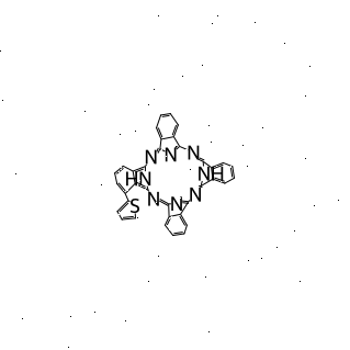 c1csc(-c2cccc3c4nc5nc(nc6[nH]c(nc7nc(nc([nH]4)c23)-c2ccccc2-7)c2ccccc62)-c2ccccc2-5)c1